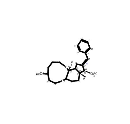 CC(=O)OC1CCCC[C@H]2C(CCC1)CC[C@]1(C)C2C/C(=C\c2ccccc2)[C@H]1OC(C)=O